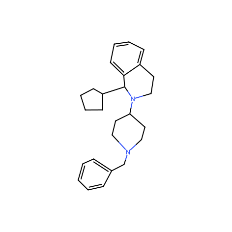 c1ccc(CN2CCC(N3CCc4ccccc4C3C3CCCC3)CC2)cc1